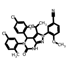 COc1ccc(C#N)cc1-n1nc2c(c1C(C)C)C(c1ccc(Cl)cc1C)N(c1cc(Cl)ccc1C)C(=O)N2